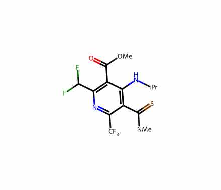 CNC(=S)c1c(C(F)(F)F)nc(C(F)F)c(C(=O)OC)c1NC(C)C